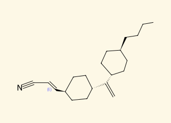 C=C([C@H]1CC[C@H](/C=C/C#N)CC1)[C@H]1CC[C@H](CCCC)CC1